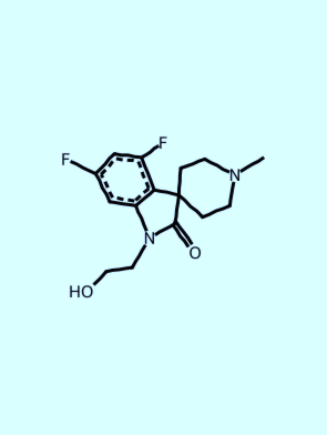 CN1CCC2(CC1)C(=O)N(CCO)c1cc(F)cc(F)c12